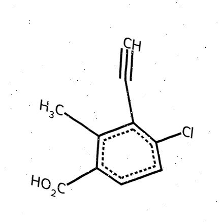 C#Cc1c(Cl)ccc(C(=O)O)c1C